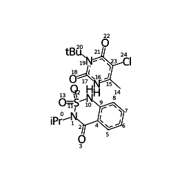 CC(C)N1C(=O)c2ccccc2NS1(=O)=O.Cc1[nH]c(=O)n(C(C)(C)C)c(=O)c1Cl